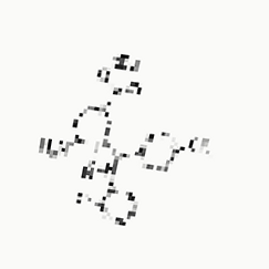 CC(C)(C)OC(=O)N1CCC(N)c2nn(-c3ccccc3Cl)c(-c3ccc(C(F)(F)F)cc3)c2C1